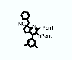 CCCCCc1nc2c(c(-c3cc(C)cc(C)c3)c1CCCCC)CCC2(C#N)Cc1ccccc1